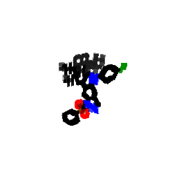 [2H]C(C(=O)O)C([2H])([2H])Cc1c(C(C)C)n(-c2ccc(F)cc2)c2cc3cnn(S(=O)(=O)c4ccccc4)c3cc12